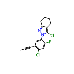 CC#Cc1cc(-n2nc3c(c2Cl)CCCC3)c(F)cc1Cl